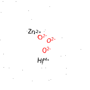 [Hf+4].[O-2].[O-2].[O-2].[Zn+2]